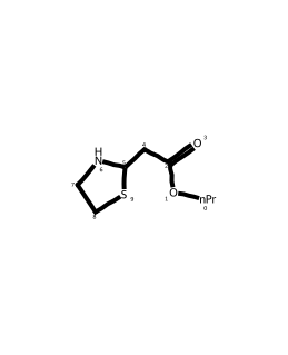 CCCOC(=O)CC1NCCS1